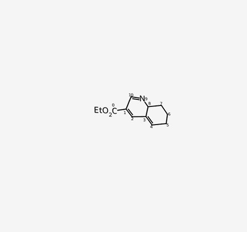 CCOC(=O)C1=CC2=CCCCC2N=C1